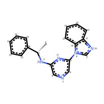 C[C@H](Nc1cncc(-n2cnc3ccccc32)n1)c1ccccc1